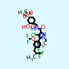 CCn1nc(C(=O)NC[C@@]2(O)CC[C@H](S(C)(=O)=O)C[C@@H]2O)c(Cl)c1-c1ccc(C[C@@H](C)C(F)(F)F)cc1OC(F)F